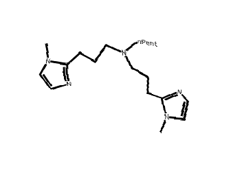 CCCCCN(CCCc1nccn1C)CCCc1nccn1C